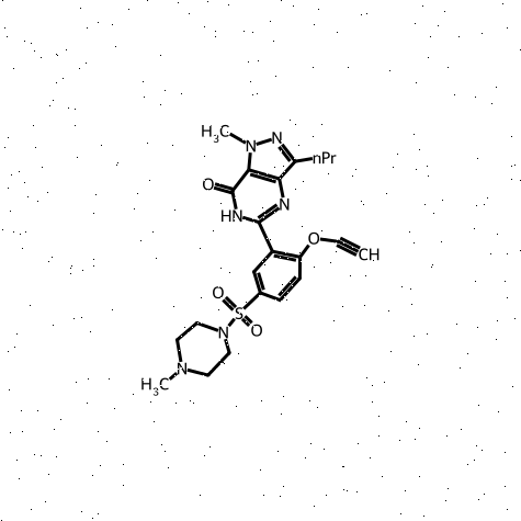 C#COc1ccc(S(=O)(=O)N2CCN(C)CC2)cc1-c1nc2c(CCC)nn(C)c2c(=O)[nH]1